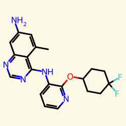 Cc1cc(N)cc2ncnc(Nc3cccnc3OC3CCC(F)(F)CC3)c12